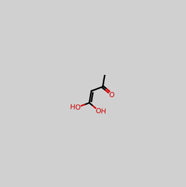 CC(=O)C=C(O)O